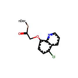 CCCCCCCCCCSC(=O)COc1ccc(Cl)c2cccnc12